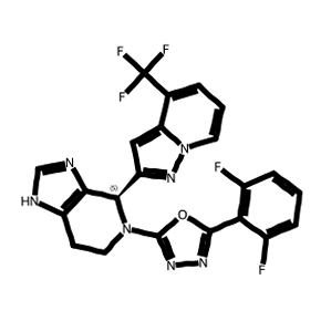 Fc1cccc(F)c1-c1nnc(N2CCc3[nH]cnc3[C@H]2c2cc3c(C(F)(F)F)cccn3n2)o1